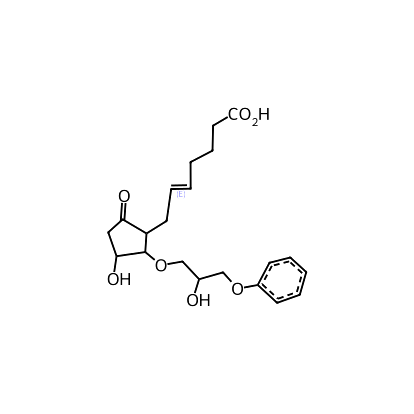 O=C(O)CCC/C=C/CC1C(=O)CC(O)C1OCC(O)COc1ccccc1